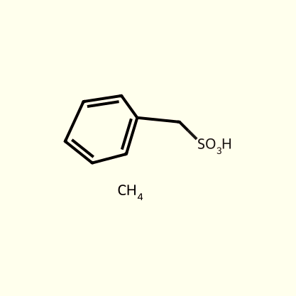 C.O=S(=O)(O)Cc1ccccc1